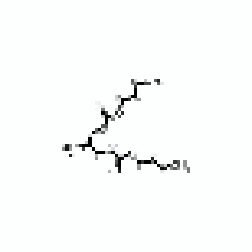 C=C(COC(=O)OCCCC)COC(=O)OCCCC